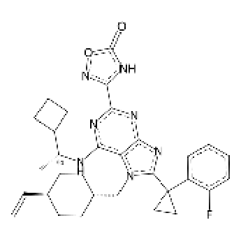 C=C[C@H]1CC[C@H](Cn2c(C3(c4ccccc4F)CC3)nc3nc(-c4noc(=O)[nH]4)nc(N[C@H](C)C4CCC4)c32)CC1